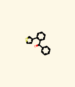 O=C(c1ccccc1)c1ccccc1-c1ccsc1